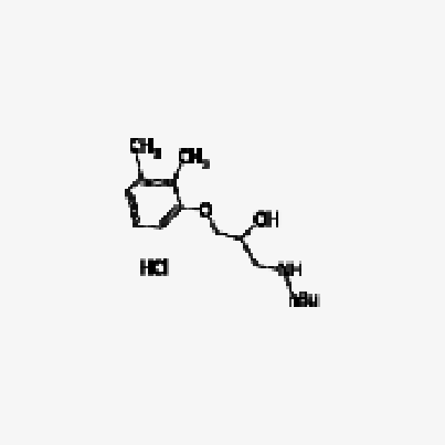 CCCCNCC(O)COc1cccc(C)c1C.Cl